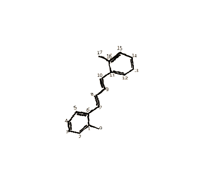 Cc1ccccc1C=CC=Cc1ccccc1C